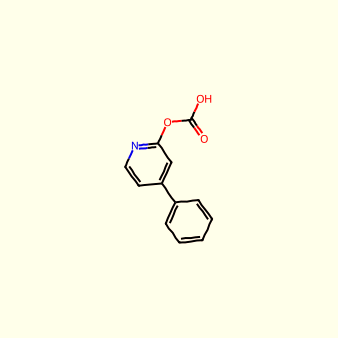 O=C(O)Oc1cc(-c2ccccc2)ccn1